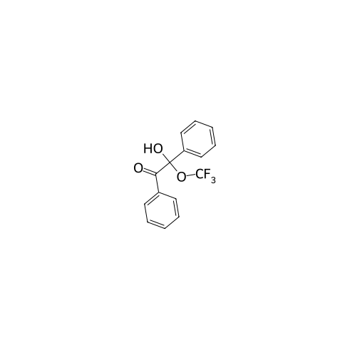 O=C(c1ccccc1)C(O)(OC(F)(F)F)c1ccccc1